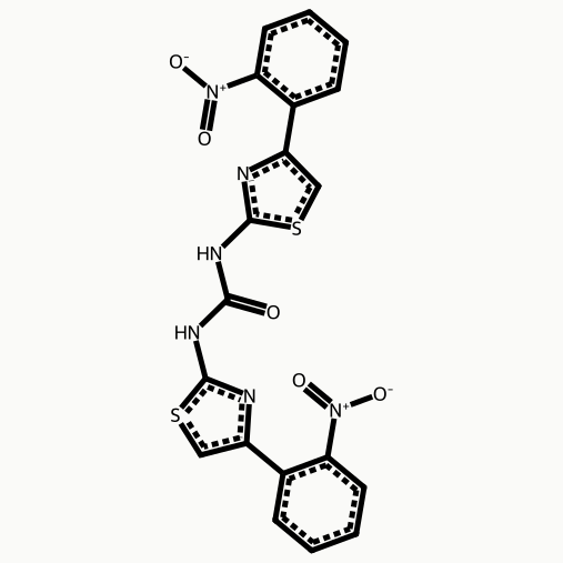 O=C(Nc1nc(-c2ccccc2[N+](=O)[O-])cs1)Nc1nc(-c2ccccc2[N+](=O)[O-])cs1